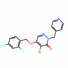 O=c1c(Br)c(OCc2ccc(F)cc2F)cnn1Cc1ccncc1